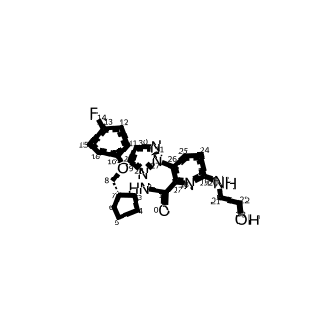 O=C(N[C@H]1CCC[C@@H]1COc1ccc(F)cc1)c1nc(NCCO)ccc1-n1nccn1